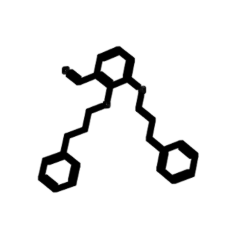 O=Cc1cccc(OCCCc2ccccc2)c1OCCCc1ccccc1